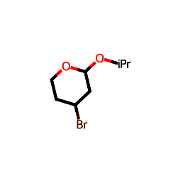 CC(C)OC1CC(Br)CCO1